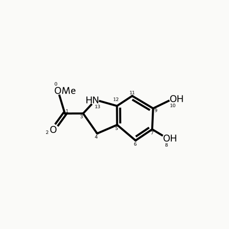 COC(=O)C1Cc2cc(O)c(O)cc2N1